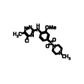 COc1cc(S(=O)(=O)N2CCN(C)CC2)ccc1Nc1nnc(C)c(Cl)n1